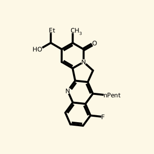 CCCCCc1c2c(nc3cccc(F)c13)-c1cc(C(O)CC)c(C)c(=O)n1C2